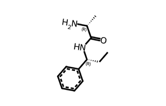 CC[C@@H](NC(=O)[C@@H](C)N)c1ccccc1